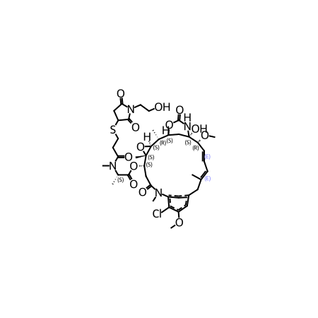 COc1cc2cc(c1Cl)N(C)C(=O)C[C@H](OC(=O)[C@H](C)N(C)C(=O)CCSC1CC(=O)N(CCO)C1=O)[C@]1(C)O[C@H]1[C@H](C)[C@@H]1C[C@@](O)(NC(=O)O1)[C@H](OC)/C=C/C=C(\C)C2